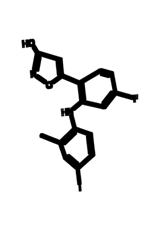 Cc1cc(I)ccc1Nc1cc(F)ccc1-c1cc(O)no1